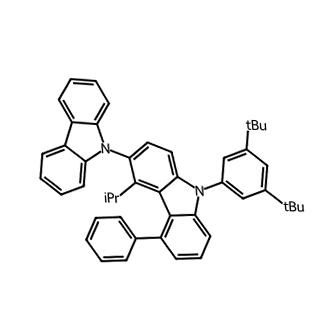 CC(C)c1c(-n2c3ccccc3c3ccccc32)ccc2c1c1c(-c3ccccc3)cccc1n2-c1cc(C(C)(C)C)cc(C(C)(C)C)c1